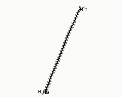 NC(=O)CCCCCCCCCCCCCCCCCCCCCCCCCCCCCCCCCCCCCCCCCCCCCCCCCCCCCCCCCCCCCCCC(N)=O